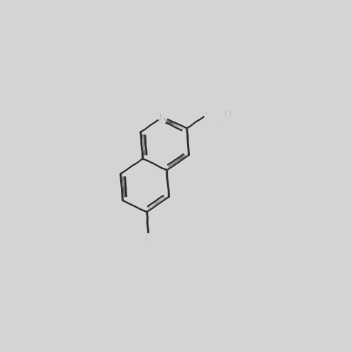 O=C(O)c1cc2cc(Br)ccc2cn1